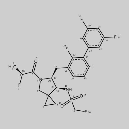 C[C@H](F)C(=O)N1CC2(CC2)[C@H](NS(=O)(=O)CF)[C@@H]1Cc1cccc(-c2cc(F)cc(F)c2)c1F